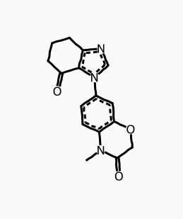 CN1C(=O)COc2cc(-n3cnc4c3C(=O)CCC4)ccc21